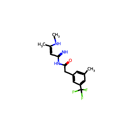 CN/C(C)=C\C(=N)NC(=O)Cc1cc(C)cc(C(F)(F)F)c1